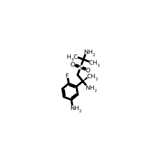 CC(C)(N)S(=O)(=O)C[C@](C)(N)c1cc(N)ccc1F